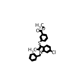 COC(=O)c1cccc(Sc2c(C)n(Cc3ccccc3)c3cc(Cl)ccc23)c1